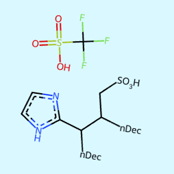 CCCCCCCCCCC(CS(=O)(=O)O)C(CCCCCCCCCC)c1ncc[nH]1.O=S(=O)(O)C(F)(F)F